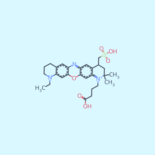 CCN1CCCc2cc3c(cc21)Oc1cc2c(cc1=N3)C(CS(=O)(=O)O)CC(C)(C)[N+]=2CCCC(=O)O